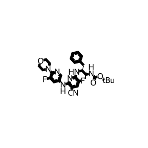 C[C@H](NC(=O)OC(C)(C)C)[C@@H](Cc1ccccc1)Nc1nc(Nc2cnc(N3CCOCC3)c(F)c2)c(C#N)cc1F